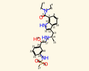 CCN(CC)C(=O)c1cccc2c(C[C@@H](C)NC[C@H](O)c3cccc(NS(C)(=O)=O)c3)c[nH]c12